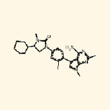 Cc1nc(N)c2c(-c3ccc(N4CC(C5CCCCC5)N(C)C4=O)cc3F)cn(C)c2n1